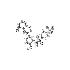 COc1ncc(-c2ccc3nccc(=O)n3n2)cc1NS(=O)(=O)c1ccc(C(F)(F)F)cc1